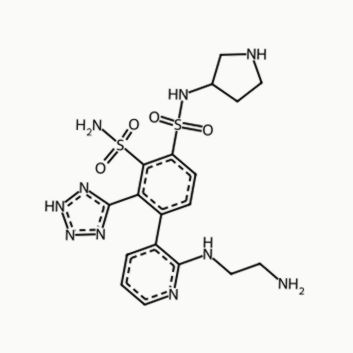 NCCNc1ncccc1-c1ccc(S(=O)(=O)NC2CCNC2)c(S(N)(=O)=O)c1-c1nn[nH]n1